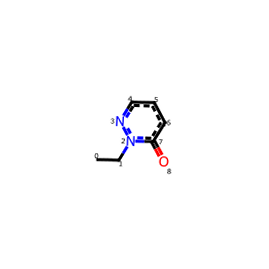 CCn1ncc[c]c1=O